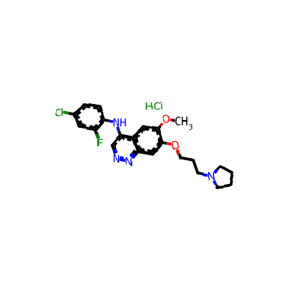 COc1cc2c(Nc3ccc(Cl)cc3F)cnnc2cc1OCCCN1CCCC1.Cl